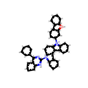 c1ccc(-c2nc(-n3c4ccccc4c4c5c6ccccc6n(-c6ccc7c(c6)oc6ccccc67)c5ccc43)nc3ccccc23)cc1